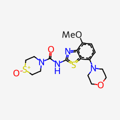 COc1ccc(N2CCOCC2)c2sc(NC(=O)N3CC[S+]([O-])CC3)nc12